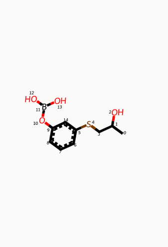 CC(O)CSc1cccc(OB(O)O)c1